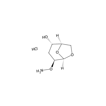 Cl.NO[C@H]1C[C@H](O)[C@H]2CO[C@@H]1O2